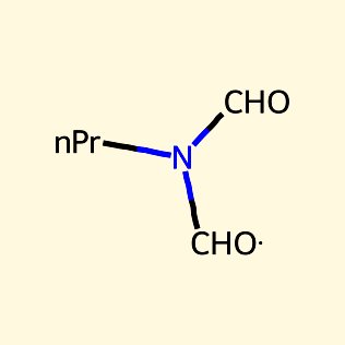 CCCN([C]=O)C=O